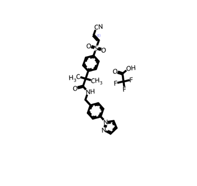 CC(C)(C(=O)NCc1ccc(-n2cccn2)cc1)c1ccc(S(=O)(=O)/C=C/C#N)cc1.O=C(O)C(F)(F)F